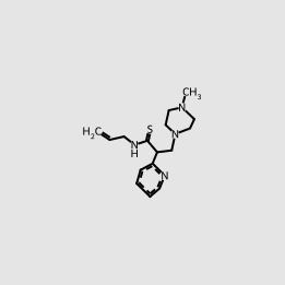 C=CCNC(=S)C(CN1CCN(C)CC1)c1ccccn1